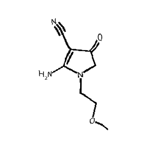 COCCN1CC(=O)C(C#N)=C1N